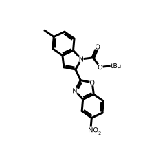 Cc1ccc2c(c1)cc(-c1nc3cc([N+](=O)[O-])ccc3o1)n2C(=O)OC(C)(C)C